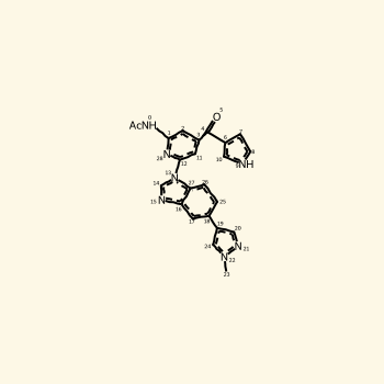 CC(=O)Nc1cc(C(=O)c2cc[nH]c2)cc(-n2cnc3cc(-c4cnn(C)c4)ccc32)n1